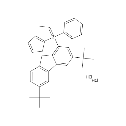 C[CH]=[Zr]([C]1=CC=CC1)([c]1ccccc1)[c]1cc(C(C)(C)C)cc2c1Cc1ccc(C(C)(C)C)cc1-2.Cl.Cl